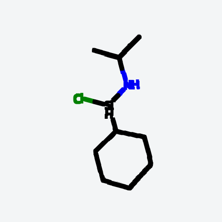 CC(C)N[SiH](Cl)C1CCCCC1